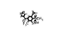 CSc1c(C(F)(F)F)c(C(=O)c2cnoc2)cc(C2CC2)c1S(C)(=O)=O